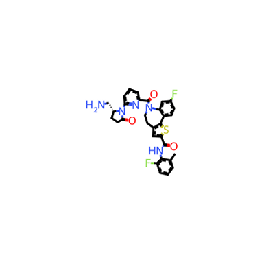 Cc1cccc(F)c1NC(=O)c1cc2c(s1)-c1ccc(F)cc1N(C(=O)c1cccc(N3C(=O)CC[C@@H]3CN)n1)CC2